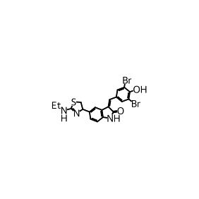 CCNC1=NC(c2ccc3c(c2)C(=Cc2cc(Br)c(O)c(Br)c2)C(=O)N3)CS1